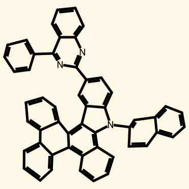 c1ccc(-c2nc(-c3ccc4c(c3)c3c5c6ccccc6c6ccccc6c5c5ccccc5c3n4-c3ccc4ccccc4c3)nc3ccccc23)cc1